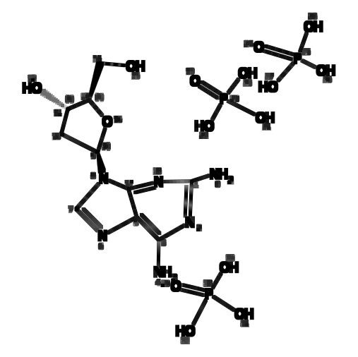 Nc1nc(N)c2ncn([C@H]3C[C@H](O)[C@@H](CO)O3)c2n1.O=P(O)(O)O.O=P(O)(O)O.O=P(O)(O)O